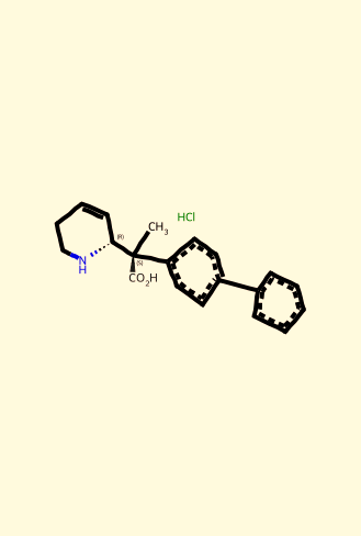 C[C@](C(=O)O)(c1ccc(-c2ccccc2)cc1)[C@H]1C=CCCN1.Cl